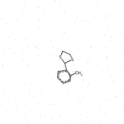 Cc1ccccc1C1SCCS1